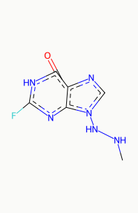 CNNn1cnc2c(=O)[nH]c(F)nc21